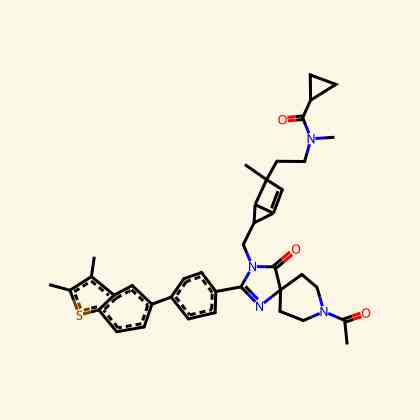 CC(=O)N1CCC2(CC1)N=C(c1ccc(-c3ccc4sc(C)c(C)c4c3)cc1)N(CC1C3=CC(C)(CCN(C)C(=O)C4CC4)C31)C2=O